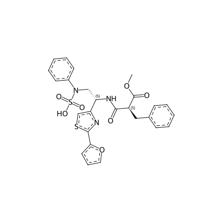 COC(=O)[C@@H](Cc1ccccc1)C(=O)N[C@@H](CN(c1ccccc1)S(=O)(=O)O)c1csc(-c2ccco2)n1